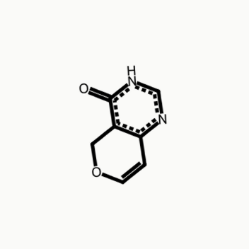 O=c1[nH]cnc2c1COC=C2